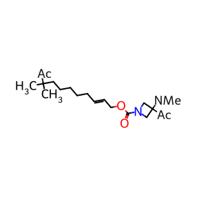 CNC1(C(C)=O)CN(C(=O)OC/C=C/CCCCCC(C)(C)C(C)=O)C1